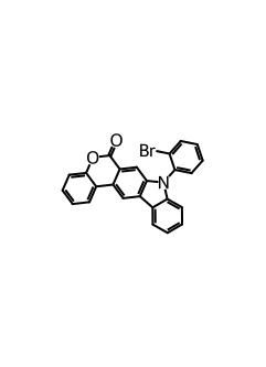 O=c1oc2ccccc2c2cc3c4ccccc4n(-c4ccccc4Br)c3cc12